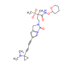 CN(C)C1(C#CC#Cc2cc3n(c2)C(=O)N(CCC(C)(C(=O)NOC2CCCCO2)S(C)(=O)=O)C3)CC1